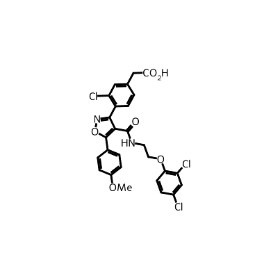 COc1ccc(-c2onc(-c3ccc(CC(=O)O)cc3Cl)c2C(=O)NCCOc2ccc(Cl)cc2Cl)cc1